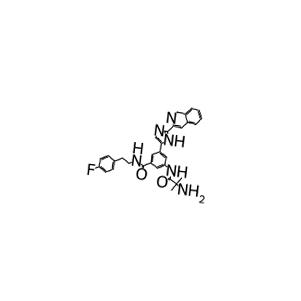 CC(C)(N)C(=O)Nc1cc(C(=O)NCCc2ccc(F)cc2)cc(-c2cnc(-c3cc4ccccc4cn3)[nH]2)c1